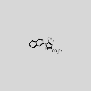 CCOC(=O)c1cc(C)n(-c2ccc3ccccc3c2)n1